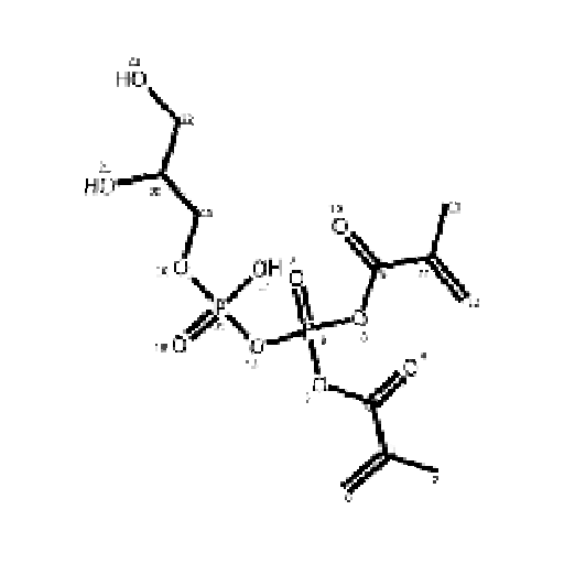 C=C(C)C(=O)OP(=O)(OC(=O)C(=C)C)OP(=O)(O)OCC(O)CO